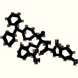 O=C(NC(CSc1ncccc1C(=O)O)C(=O)N1CCC(C(c2ccccc2)c2ccccc2)CC1)c1cc2cc(Cl)ccc2[nH]1